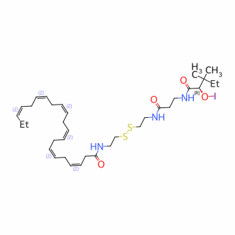 CC/C=C\C/C=C\C/C=C\C/C=C\C/C=C\C/C=C\CC(=O)NCCSSCCNC(=O)CCNC(=O)[C@H](OI)C(C)(C)CC